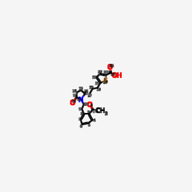 CC(=O)c1ccccc1CCN1C(=O)CC[C@@H]1CCCc1ccc(C(=O)O)s1